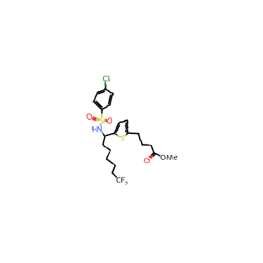 COC(=O)CCCc1ccc(C(CCCCCC(F)(F)F)NS(=O)(=O)c2ccc(Cl)cc2)s1